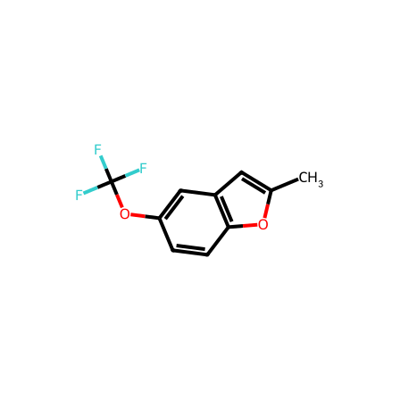 Cc1cc2cc(OC(F)(F)F)ccc2o1